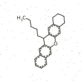 CCCCCC1c2cc3c(cc2Oc2cc4ccccc4cc21)CCCC3